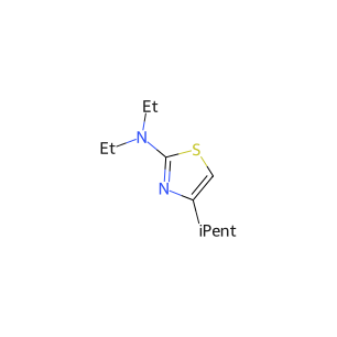 CCCC(C)c1csc(N(CC)CC)n1